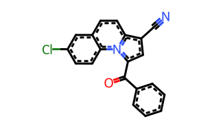 N#Cc1cc(C(=O)c2ccccc2)n2c1ccc1cc(Cl)ccc12